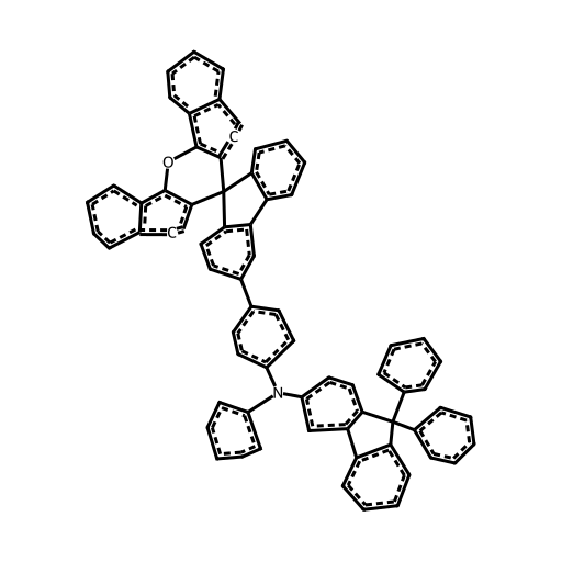 c1ccc(N(c2ccc(-c3ccc4c(c3)-c3ccccc3C43c4ccc5ccccc5c4Oc4c3ccc3ccccc43)cc2)c2ccc3c(c2)-c2ccccc2C3(c2ccccc2)c2ccccc2)cc1